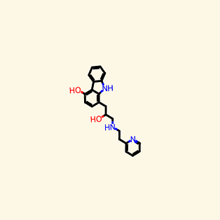 Oc1ccc(CC(O)CNCCc2ccccn2)c2[nH]c3ccccc3c12